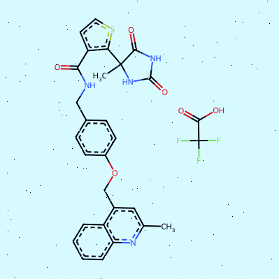 Cc1cc(COc2ccc(CNC(=O)c3ccsc3C3(C)NC(=O)NC3=O)cc2)c2ccccc2n1.O=C(O)C(F)(F)F